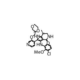 COc1c(Cl)cccc1Nc1c(-c2ccncc2OC[C@H]2COCCO2)[nH]c2c1C(=O)NC[C@@H]2C